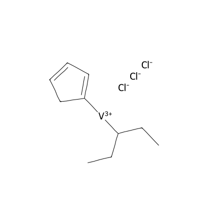 CC[CH](CC)[V+3][C]1=CC=CC1.[Cl-].[Cl-].[Cl-]